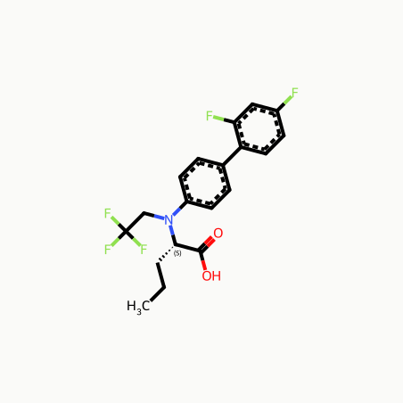 CCC[C@@H](C(=O)O)N(CC(F)(F)F)c1ccc(-c2ccc(F)cc2F)cc1